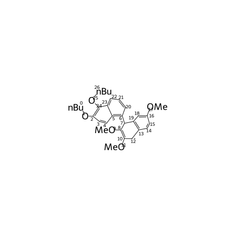 CCCCOc1ccc2c(C3C(OC)=C(OC)[CH]c4ccc(OC)cc43)cccc2c1OCCCC